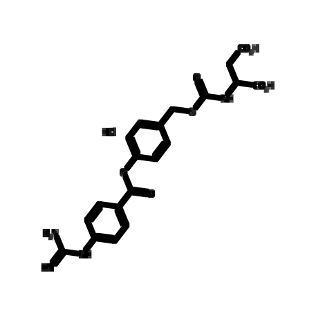 Cl.N=C(N)Nc1ccc(C(=O)Oc2ccc(COC(=O)NC(CC(=O)O)C(=O)O)cc2)cc1